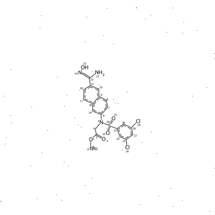 CC(C)(C)OC(=O)CN(c1ccc2cc(/C(N)=N/O)ccc2c1)S(=O)(=O)c1cc(Cl)cc(Cl)c1